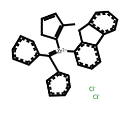 CC1=[C]([Zr+2](=[C](c2ccccc2)c2ccccc2)[c]2cccc3c2Cc2ccccc2-3)CC=C1.[Cl-].[Cl-]